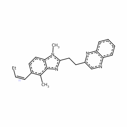 CC/C=C\c1ccc2c(nc(CCc3cnc4ccccc4n3)n2C)c1C